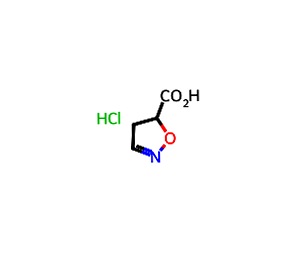 Cl.O=C(O)C1CC=NO1